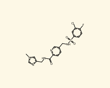 Cn1cnc(CNC(=O)c2ccc(CNS(=O)(=O)c3ccc(F)c(Cl)c3)cn2)c1